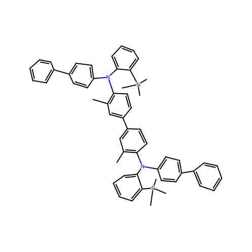 Cc1cc(-c2ccc(N(c3ccc(-c4ccccc4)cc3)c3ccccc3[Si](C)(C)C)c(C)c2)ccc1N(c1ccc(-c2ccccc2)cc1)c1ccccc1[Si](C)(C)C